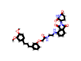 COc1ccc(CCCc2cccc(OCC(=O)NCCNc3cccc4c3C(=O)N(C3CCC(=O)NC3=O)C4=O)c2)cc1OC